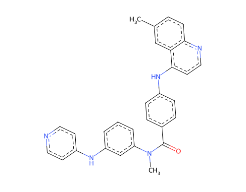 Cc1ccc2nccc(Nc3ccc(C(=O)N(C)c4cccc(Nc5ccncc5)c4)cc3)c2c1